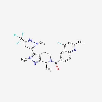 Cc1cc(F)c2cc(C(=O)N3CCc4c(nn(C)c4-c4cc(C(F)(F)F)nn4C)[C@@H]3C)ccc2n1